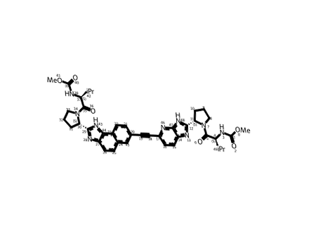 COC(=O)N[C@H](C(=O)N1CCC[C@H]1c1nc2ccc(C#Cc3ccc4c(ccc5nc([C@@H]6CCCN6C(=O)[C@@H](NC(=O)OC)C(C)C)[nH]c54)c3)nc2[nH]1)C(C)C